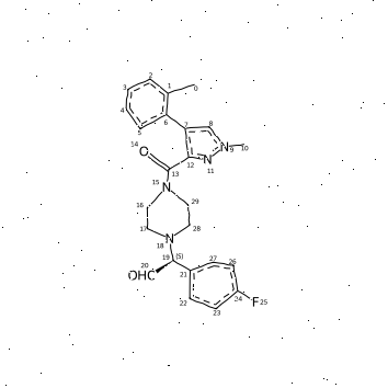 Cc1ccccc1-c1cn(C)nc1C(=O)N1CCN([C@H](C=O)c2ccc(F)cc2)CC1